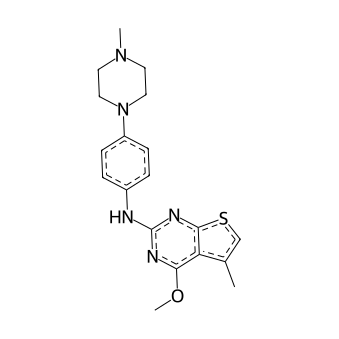 COc1nc(Nc2ccc(N3CCN(C)CC3)cc2)nc2scc(C)c12